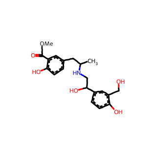 COC(=O)c1cc(CC(C)NCC(O)c2ccc(O)c(CO)c2)ccc1O